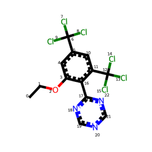 CCOc1cc(C(Cl)(Cl)Cl)cc(C(Cl)(Cl)Cl)c1-c1ncncn1